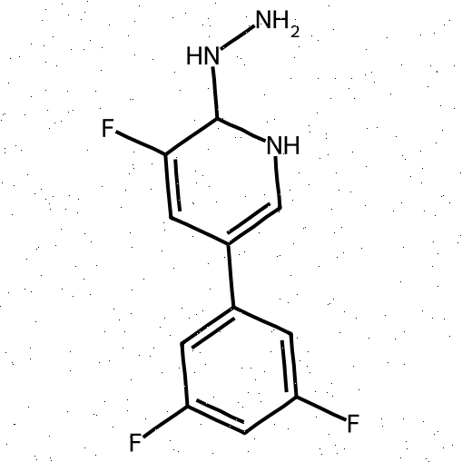 NNC1NC=C(c2cc(F)cc(F)c2)C=C1F